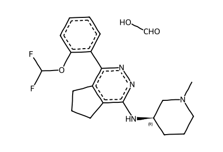 CN1CCC[C@@H](Nc2nnc(-c3ccccc3OC(F)F)c3c2CCC3)C1.O=CO